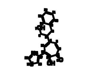 O=c1ccc(C(CO)Cc2ccccc2)cc(-c2cscn2)c1O